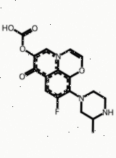 CC1CN(c2c(F)cc3c(=O)c(OC(=O)O)cn4c3c2OC=C4)CCN1